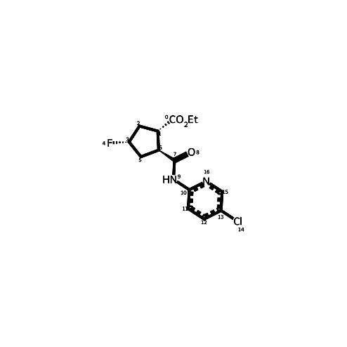 CCOC(=O)[C@H]1C[C@@H](F)C[C@@H]1C(=O)Nc1ccc(Cl)cn1